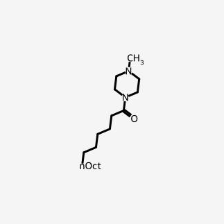 CCCCCCCCCCCCCC(=O)N1CCN(C)CC1